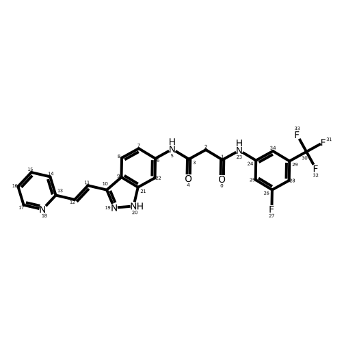 O=C(CC(=O)Nc1ccc2c(C=Cc3ccccn3)n[nH]c2c1)Nc1cc(F)cc(C(F)(F)F)c1